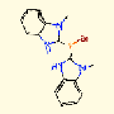 CN1c2ccccc2NC1P(Br)C1Nc2ccccc2N1C